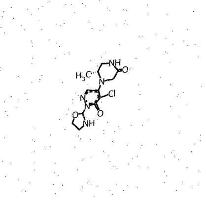 C[C@@H]1CNC(=O)CN1c1cnn(C2NCCO2)c(=O)c1Cl